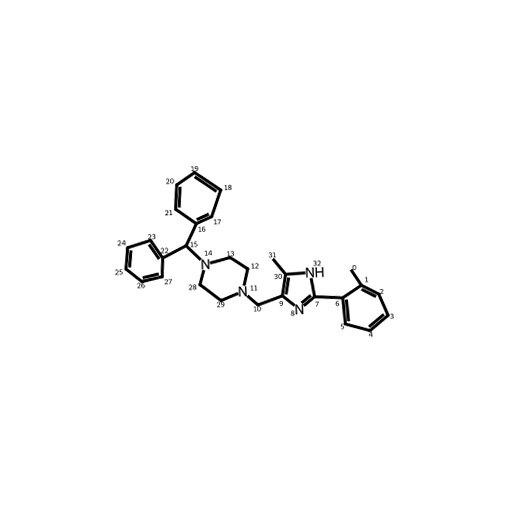 Cc1ccccc1-c1nc(CN2CCN(C(c3ccccc3)c3ccccc3)CC2)c(C)[nH]1